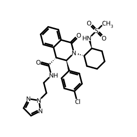 CS(=O)(=O)N[C@H]1CCCC[C@@H]1N1C(=O)c2ccccc2[C@@H](C(=O)NCCn2nccn2)[C@@H]1c1ccc(Cl)cc1